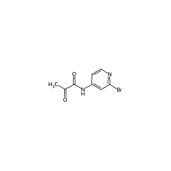 CC(=O)C(=O)Nc1ccnc(Br)c1